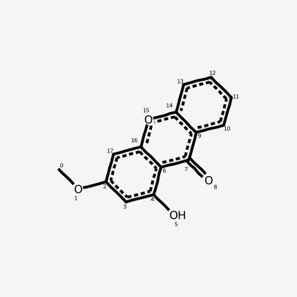 COc1cc(O)c2c(=O)c3ccccc3oc2c1